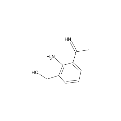 CC(=N)c1cccc(CO)c1N